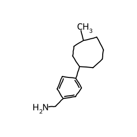 CC1CCCCC(c2ccc(CN)cc2)CC1